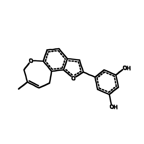 CC1=CCc2c(ccc3cc(-c4cc(O)cc(O)c4)oc23)OC1